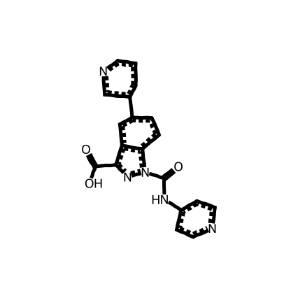 O=C(O)c1nn(C(=O)Nc2ccncc2)c2ccc(-c3cccnc3)cc12